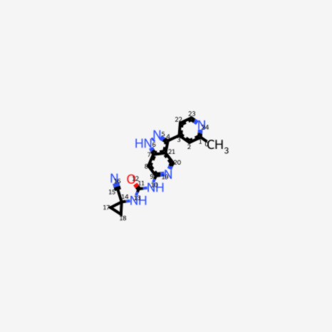 Cc1cc(-c2n[nH]c3cc(NC(=O)NC4(C#N)CC4)ncc23)ccn1